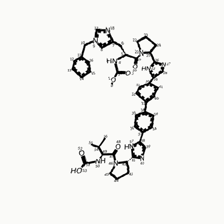 COC(=O)N[C@@H](Cc1cn(Cc2ccccc2)cn1)C(=O)N1CCCC1c1ncc(-c2ccc(-c3ccc(-c4cnc([C@@H]5CCCN5C(=O)[C@@H](NC(=O)O)C(C)C)[nH]4)cc3)cc2)[nH]1